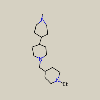 CCN1CCC(CN2CCC(C3CCN(C)CC3)CC2)CC1